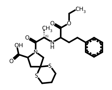 CCOC(=O)C(CCc1ccccc1)N[C@@H](C)C(=O)N1CC2(CC1C(=O)O)SCCCS2